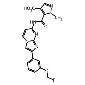 Cn1ncc(C(=O)O)c1C(=O)Nc1ccn2cc(-c3cccc(OCF)c3)nc2n1